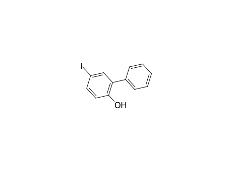 Oc1ccc(I)cc1-c1ccccc1